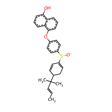 CC=CC(C)(C)C1C=CC([S+]([O-])c2ccc(Oc3cccc4c(O)cccc34)cc2)=CC1